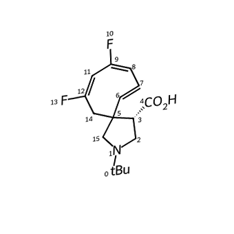 CC(C)(C)N1C[C@@H](C(=O)O)C2(/C=C/C=C(F)\C=C(\F)C2)C1